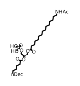 CCCCCCCCCCCCCCC(=O)O[C@H](COC(=O)CCCCCCCCCCCCCCNC(C)=O)COP(=O)(O)O